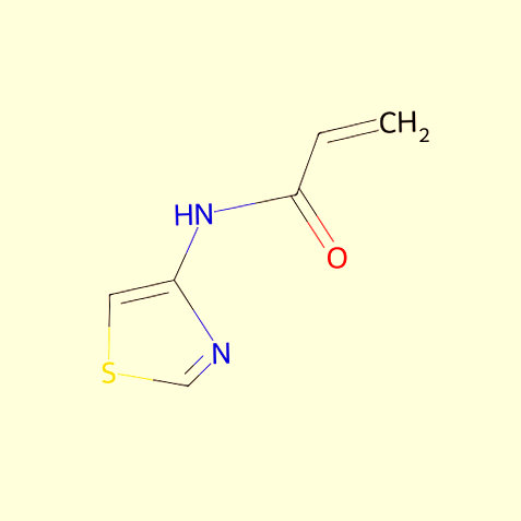 C=CC(=O)Nc1cscn1